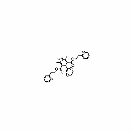 CC1=C(C(=O)OCCc2ccccn2)C(C2=COCCO2)C(C(=O)OCCc2ccccn2)=C(C)N1